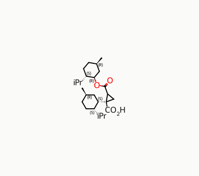 CC(C)[C@@H]1CC[C@@H](C)C[C@H]1OC(=O)C1CC1(C(=O)O)[C@H]1C[C@H](C)CC[C@H]1C(C)C